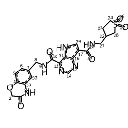 O=C1COc2ccc(CNC(=O)c3ncnc4c(C(=O)NCC5CCS(=O)(=O)C5)c[nH]c34)cc2N1